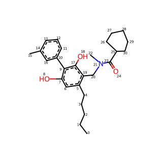 CCCCCc1cc(O)c(-c2cccc(C)c2)c(O)c1CN(C)C(=O)C1CCCCC1